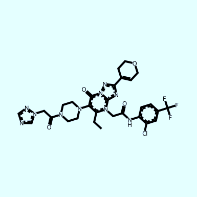 CCc1c(N2CCN(C(=O)Cn3cncn3)CC2)c(=O)n2nc(C3=CCOCC3)nc2n1CC(=O)Nc1ccc(C(F)(F)F)cc1Cl